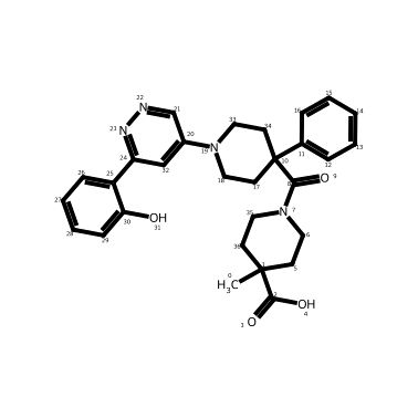 CC1(C(=O)O)CCN(C(=O)C2(c3ccccc3)CCN(c3cnnc(-c4ccccc4O)c3)CC2)CC1